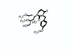 COCC[C@@H]([C@H](O)[C@@H](CO)OC)n1ccc(=O)n(Cc2ccc(OC)cc2)c1=O